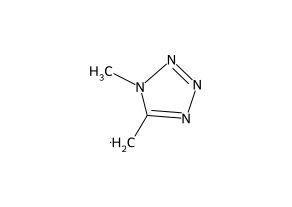 [CH2]c1nnnn1C